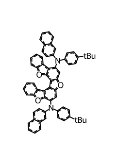 CC(C)(C)c1ccc(N(c2ccc3ccccc3c2)c2cc3oc4cc(N(c5ccc(C(C)(C)C)cc5)c5ccc6ccccc6c5)c5c6ccccc6oc5c4c3c3c2oc2ccccc23)cc1